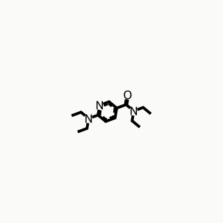 CCN(CC)C(=O)c1ccc(N(CC)CC)nc1